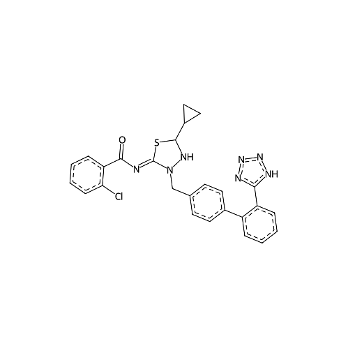 O=C(N=C1SC(C2CC2)NN1Cc1ccc(-c2ccccc2-c2nnn[nH]2)cc1)c1ccccc1Cl